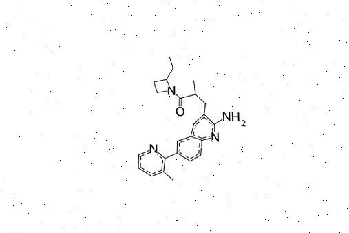 CCC1CCN1C(=O)C(C)Cc1cc2cc(-c3ncccc3C)ccc2nc1N